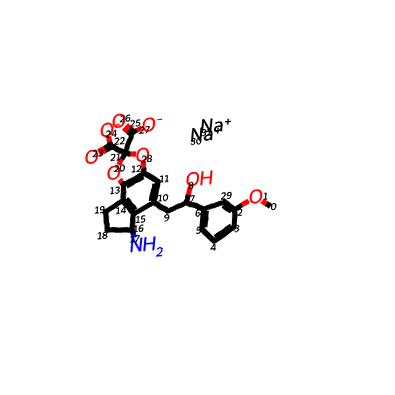 COc1cccc(C(O)Cc2cc3c(c4c2C(N)CC4)OC(C(=O)[O-])(C(=O)[O-])O3)c1.[Na+].[Na+]